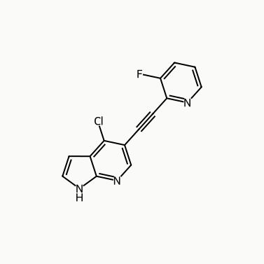 Fc1cccnc1C#Cc1cnc2[nH]ccc2c1Cl